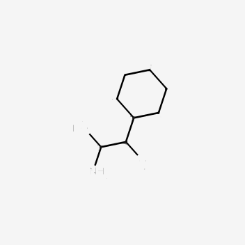 NC(O)C(O)C1CCCCC1